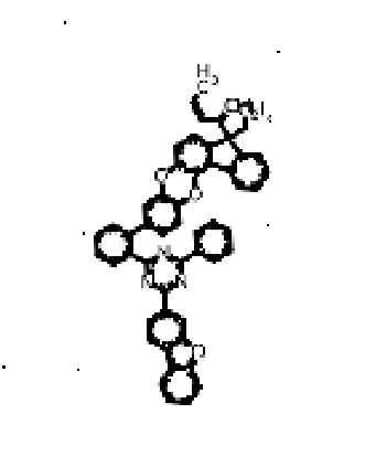 C=C(/C=C\C)C1(CC)c2ccccc2-c2c1ccc1c2Oc2ccc(-c3ccccc3-c3nc(-c4ccccc4)nc(-c4ccc5c(c4)oc4ccccc45)n3)cc2O1